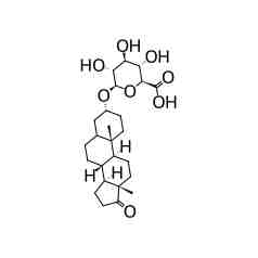 C[C@]12CC[C@@H](O[C@@H]3O[C@H](C(=O)O)[C@@H](O)[C@H](O)[C@H]3O)CC1CC[C@@H]1[C@@H]2CC[C@]2(C)C(=O)CC[C@@H]12